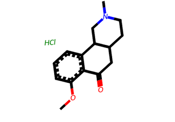 COc1cccc2c1C(=O)CC1CCN(C)CC21.Cl